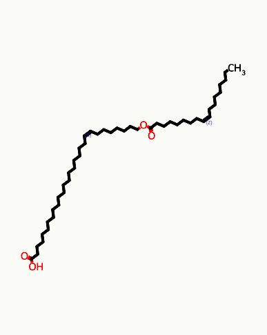 CCCCCCCC/C=C\CCCCCCCC(=O)OCCCCCCC/C=C\CCCCCCCCCCCCCCCCCCCC(=O)O